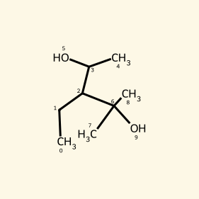 CCC(C(C)O)C(C)(C)O